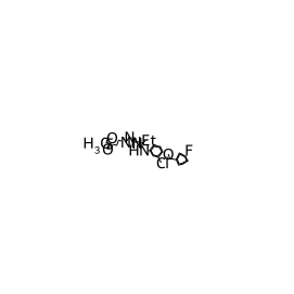 CC/C(=N\C=N/NCCS(C)(=O)=O)Nc1ccc(OCc2cccc(F)c2)c(Cl)c1